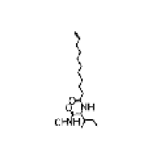 C=CCCCCCCCCC(=O)NC(C(=O)NCl)C(C)CC